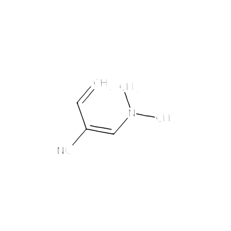 C=C/C(C#N)=C\N(C)C